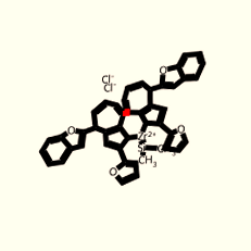 C[Si](C)=[Zr+2]([CH]1C(c2ccco2)=CC2=C1C=CC=CC2c1cc2ccccc2o1)[CH]1C(c2ccco2)=CC2=C1C=CC=CC2c1cc2ccccc2o1.[Cl-].[Cl-]